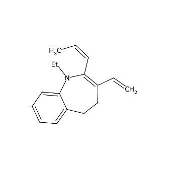 C=CC1=C(/C=C\C)N(CC)c2ccccc2CC1